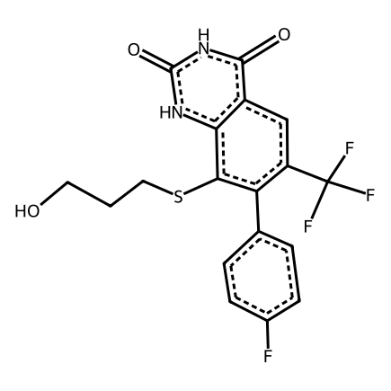 O=c1[nH]c(=O)c2cc(C(F)(F)F)c(-c3ccc(F)cc3)c(SCCCO)c2[nH]1